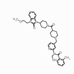 COCCn1c(=O)n(C2CCN(C(=O)C3CCN(Cc4ccnc(N(CO)C(=O)c5ccccc5C)c4)CC3)CC2)c2ccccc21